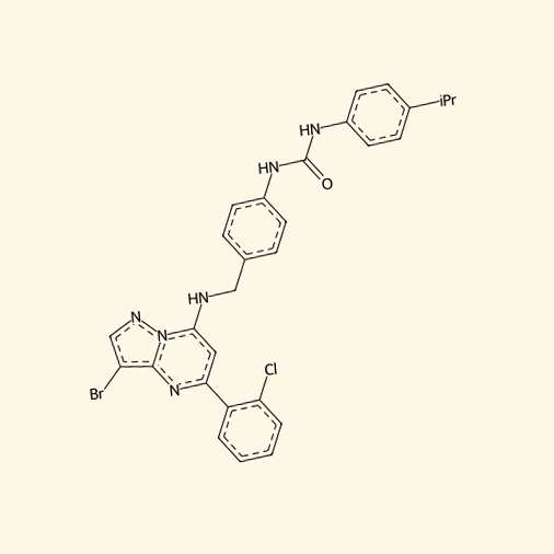 CC(C)c1ccc(NC(=O)Nc2ccc(CNc3cc(-c4ccccc4Cl)nc4c(Br)cnn34)cc2)cc1